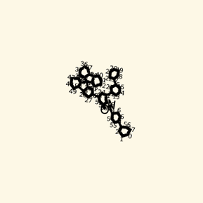 c1ccc(-c2ccc(-c3nc4c(-c5cccc(-c6ccccc6)c5)cc(-c5ccc6c(c5)C5(c7ccccc7-c7ccccc75)c5ccccc5-6)cc4o3)cc2)cc1